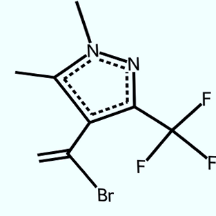 C=C(Br)c1c(C(F)(F)F)nn(C)c1C